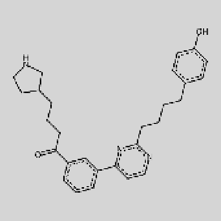 O=C(CCCC1CCNC1)c1cccc(-c2ccnc(CCCCc3ccc(O)cc3)n2)c1